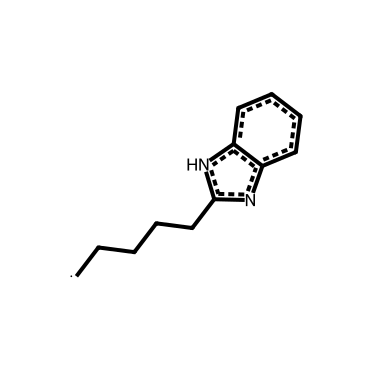 [CH2]CCCCc1nc2ccccc2[nH]1